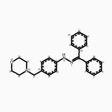 c1ccc(C(=NNc2ccc(CN3CCOCC3)cc2)c2ccccc2)cc1